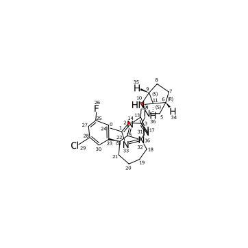 Cc1cc(N2C[C@H]3CC[C@@H](C2)[C@@H]3Nc2nc3n(n2)CCCC[C@H]3c2cc(F)cc(Cl)c2)ncn1